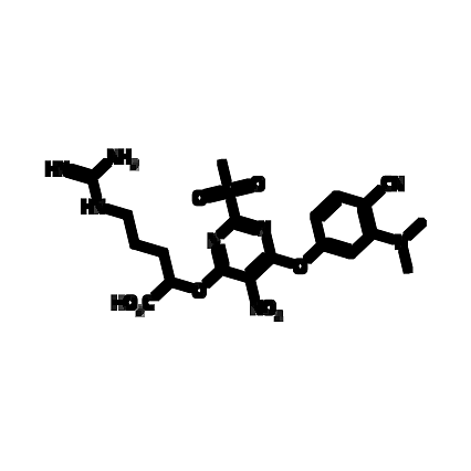 CN(C)c1cc(Oc2nc(S(C)(=O)=O)nc(OC(CCCNC(=N)N)C(=O)O)c2[N+](=O)[O-])ccc1C#N